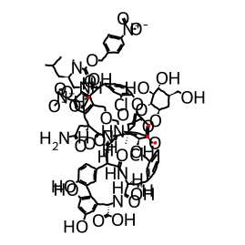 CC(C)C[C@H](C(=O)N[C@H]1C(=O)C[C@@H](CC(N)=O)C(=O)N[C@H]2C(=O)C[C@H]3C(=O)N[C@H](C(=O)N[C@H](C(=O)O)c4cc(O)cc(O)c4-c4cc3ccc4O)[C@H](O)c3ccc(c(Cl)c3)Oc3cc2cc(c3O[C@@H]2C[C@H](CO)[C@@H](O)[C@H](O)[C@H]2O[C@H]2C[C@](C)(NC(=O)OCc3ccc([N+](=O)[O-])cc3)[C@H](O)[C@H](C)O2)Oc2ccc(cc2Cl)[C@H]1O)N(C)C(=O)OCc1ccc([N+](=O)[O-])cc1